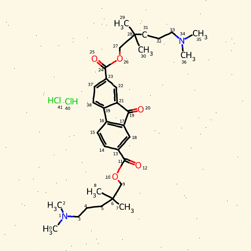 CN(C)CCCC(C)(C)COC(=O)c1ccc2c(c1)C(=O)c1cc(C(=O)OCC(C)(C)CCCN(C)C)ccc1-2.Cl.Cl